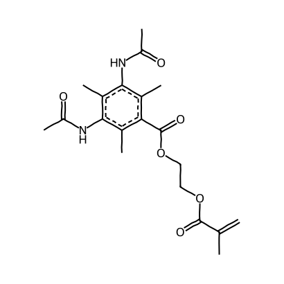 C=C(C)C(=O)OCCOC(=O)c1c(C)c(NC(C)=O)c(C)c(NC(C)=O)c1C